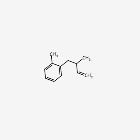 C=CC(C)Cc1ccccc1C